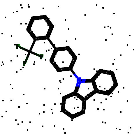 FC(F)(F)c1ccccc1-c1ccc(-n2c3ccccc3c3ccccc32)cc1